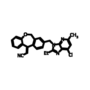 CCc1nc2c(Cl)cc(C)nc2n1Cc1ccc2c(c1)COc1ccccc1C2=CC#N